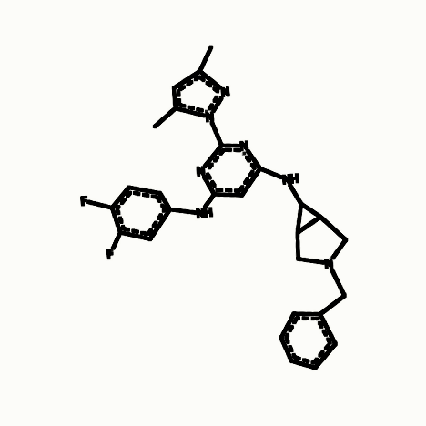 Cc1cc(C)n(-c2nc(Nc3ccc(F)c(F)c3)cc(NC3C4CN(Cc5ccccc5)CC43)n2)n1